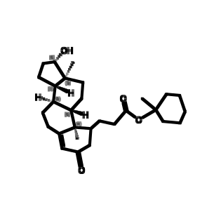 CC1(OC(=O)CCC2CC(=O)C=C3CC[C@H]4[C@@H]5CC[C@H](O)[C@@]5(C)CC[C@@H]4[C@]32C)CCCCC1